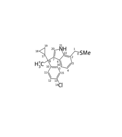 CSCc1cccc2c(C(C)(c3ccc(Cl)cc3)C3CC3)c[nH]c12